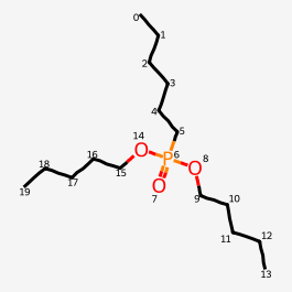 CCCCCCP(=O)(OCCCCC)OCCCCC